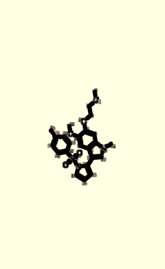 COCCOc1cc2c(cc1OC)c(-c1cccn1S(=O)(=O)c1ccc(C)cc1)cn2C